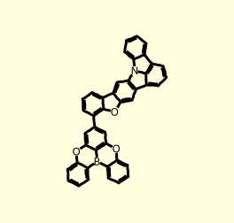 c1ccc2c(c1)Oc1cc(-c3cccc4c3oc3cc5c6cccc7c8ccccc8n(c5cc34)c76)cc3c1B2c1ccccc1O3